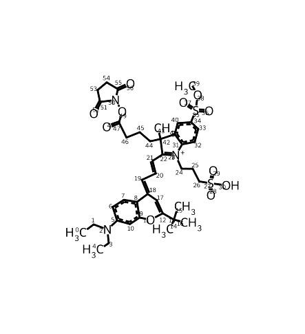 CCN(CC)c1ccc2c(c1)OC(C(C)(C)C)=C/C2=C\C=C\C1=[N+](CCCS(=O)(=O)O)c2ccc(S(=O)(=O)OC)cc2C1(C)CCCC(=O)ON1C(=O)CCC1=O